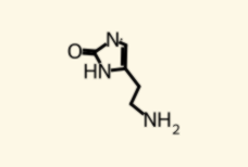 NCCC1=C[N]C(=O)N1